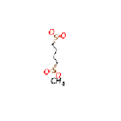 C.O=S(=O)=CCCC=S(=O)=O